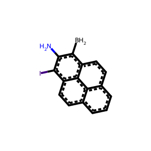 Bc1c(N)c(I)c2ccc3cccc4ccc1c2c43